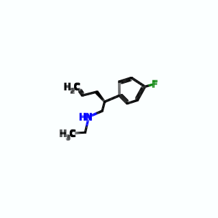 C=CC[C@H](CNCC)c1ccc(F)cc1